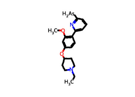 CCN1CCC(Oc2ccc(-c3cccc([AsH2])n3)c(OC)c2)CC1